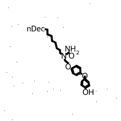 CCCCCCCCCCCCCCCCCCN(CCOc1ccc(Oc2ccc(O)cc2)cc1)C(N)=O